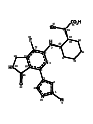 CCn1cc(-c2nc(N[C@@H]3CCCC[C@@H]3N(C(=O)O)C(C)(C)C)c(F)c3c2C(=O)NC3)cn1